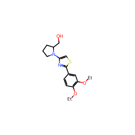 CCOc1ccc(-c2nc(N3CCCC3CO)cs2)cc1OCC